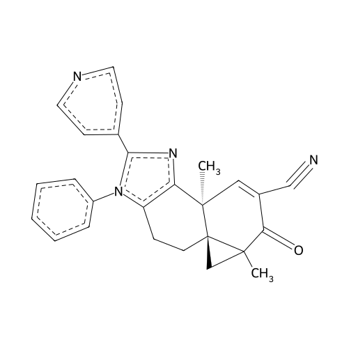 CC12C[C@]13CCc1c(nc(-c4ccncc4)n1-c1ccccc1)[C@@]3(C)C=C(C#N)C2=O